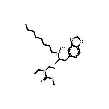 CCCCCCCC[S+]([O-])C(C)Cc1ccc2c(c1)OCO2.CCN(CC)C(=S)SC